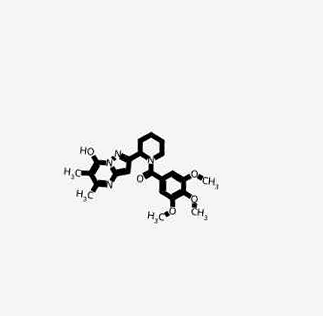 COc1cc(C(=O)N2CCCCC2c2cc3nc(C)c(C)c(O)n3n2)cc(OC)c1OC